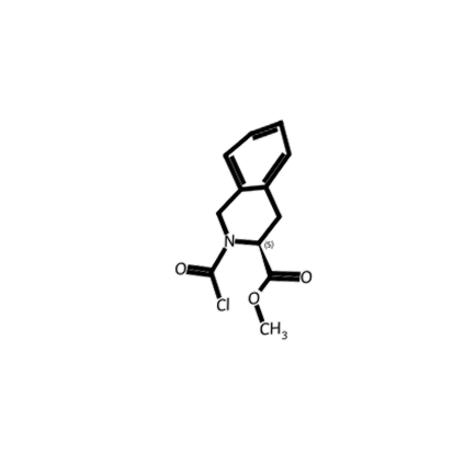 COC(=O)[C@@H]1Cc2ccccc2CN1C(=O)Cl